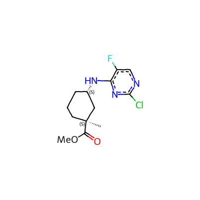 COC(=O)[C@@]1(C)CCC[C@H](Nc2nc(Cl)ncc2F)C1